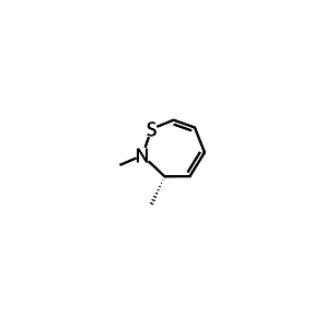 C[C@H]1C=CC=CSN1C